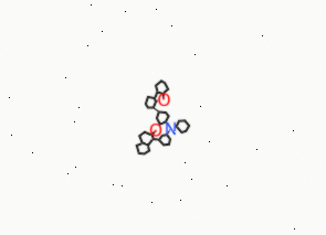 c1ccc(N(c2ccc(-c3cccc4c3oc3ccccc34)cc2)c2cccc3c2oc2ccc4ccccc4c23)cc1